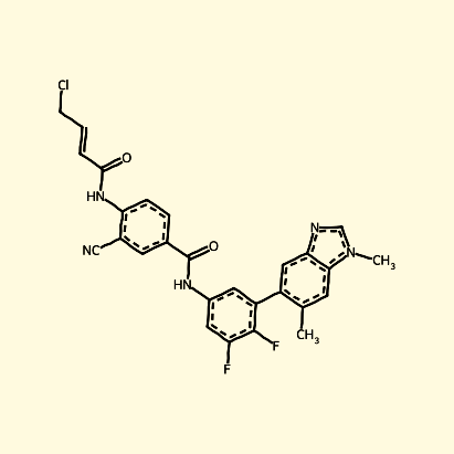 Cc1cc2c(cc1-c1cc(NC(=O)c3ccc(NC(=O)C=CCCl)c(C#N)c3)cc(F)c1F)ncn2C